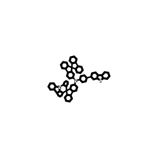 c1ccc2c(c1)-c1ccccc1C21c2ccccc2-c2ccc(N(c3ccc(-c4ccc5c(c4)sc4ccccc45)cc3)c3ccc4c(c3)C3(c5ccccc5-4)c4ccccc4-n4c5ccccc5c5cccc3c54)cc21